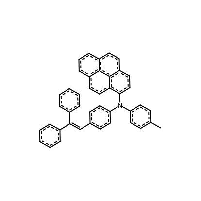 Cc1ccc(N(c2ccc(C=C(c3ccccc3)c3ccccc3)cc2)c2ccc3ccc4cccc5ccc2c3c45)cc1